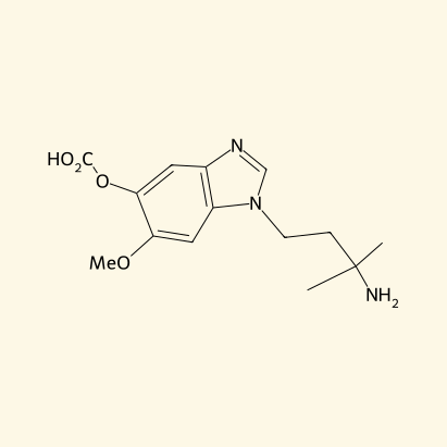 COc1cc2c(cc1OC(=O)O)ncn2CCC(C)(C)N